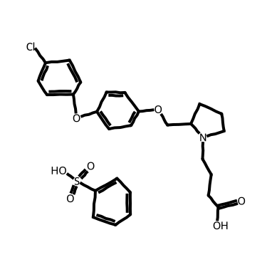 O=C(O)CCCN1CCCC1COc1ccc(Oc2ccc(Cl)cc2)cc1.O=S(=O)(O)c1ccccc1